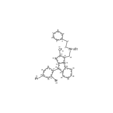 CCN(CCc1ccccc1)Cc1c(C(F)(F)F)nc2n(-c3ccc(C(C)C)cc3Br)c3ccccc3n12